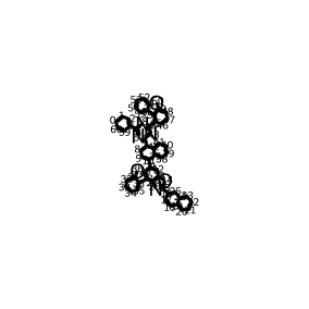 c1ccc(-c2nc(-c3ccc(-c4cc5oc(-c6ccc7ccccc7c6)nc5c5c4oc4ccccc45)c4ccccc34)nc(-c3cccc4oc5ccccc5c34)n2)cc1